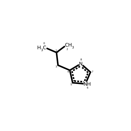 C[C](C)Cc1c[nH]cn1